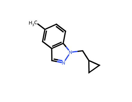 Cc1ccc2c(cnn2CC2CC2)c1